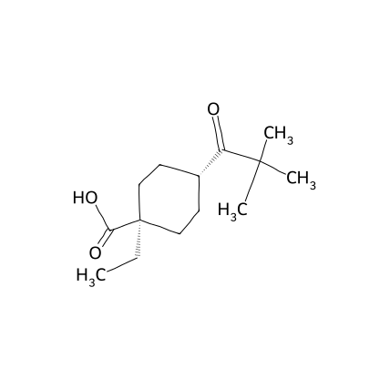 CC[C@]1(C(=O)O)CC[C@H](C(=O)C(C)(C)C)CC1